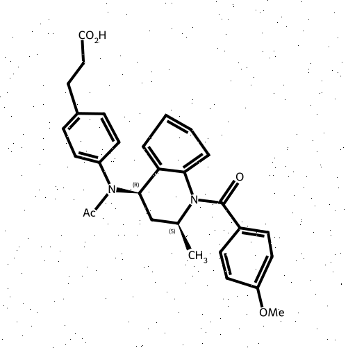 COc1ccc(C(=O)N2c3ccccc3[C@H](N(C(C)=O)c3ccc(CCC(=O)O)cc3)C[C@@H]2C)cc1